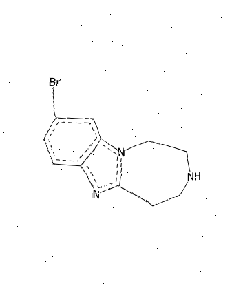 Brc1ccc2nc3n(c2c1)CCNCC3